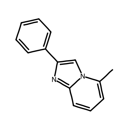 Cc1cccc2nc(-c3ccccc3)cn12